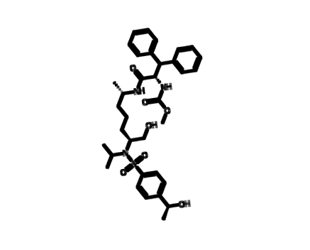 COC(=O)N[C@H](C(=O)N[C@@H](C)CCC[C@@H](CO)N(C(C)C)S(=O)(=O)c1ccc([C@H](C)O)cc1)C(c1ccccc1)c1ccccc1